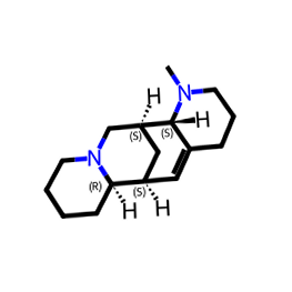 CN1CCCC2=C[C@@H]3C[C@@H](CN4CCCC[C@H]34)[C@@H]21